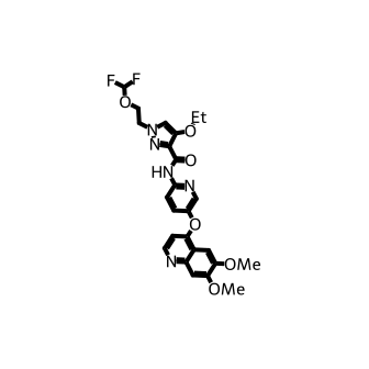 CCOc1cn(CCOC(F)F)nc1C(=O)Nc1ccc(Oc2ccnc3cc(OC)c(OC)cc23)cn1